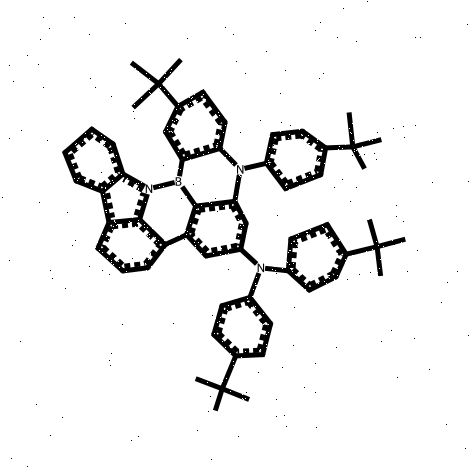 CC(C)(C)c1ccc(N(c2ccc(C(C)(C)C)cc2)c2cc3c4c(c2)N(c2ccc(C(C)(C)C)cc2)c2ccc(C(C)(C)C)cc2B4n2c4ccccc4c4cccc-3c42)cc1